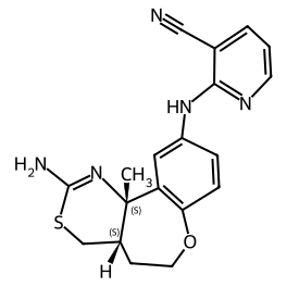 C[C@]12N=C(N)SC[C@H]1CCOc1ccc(Nc3ncccc3C#N)cc12